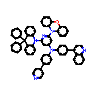 c1ccc(C2(c3ccccc3)c3ccccc3N(c3cc(N(c4ccc(-c5ccncc5)cc4)c4ccc(-c5ccnc6ccccc56)cc4)cc(N4c5ccccc5Oc5ccccc54)n3)c3ccccc32)cc1